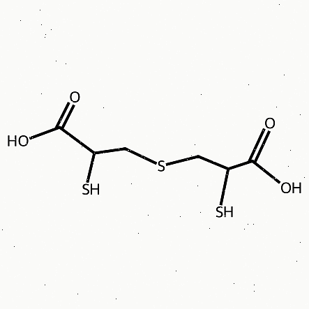 O=C(O)C(S)CSCC(S)C(=O)O